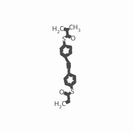 C=CC(=O)Sc1ccc(C#Cc2ccc(SC(=O)C(=C)C)cc2)cc1